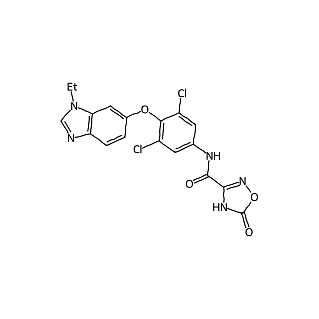 CCn1cnc2ccc(Oc3c(Cl)cc(NC(=O)c4noc(=O)[nH]4)cc3Cl)cc21